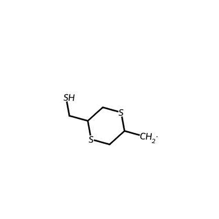 [CH2]C1CSC(CS)CS1